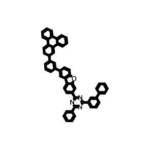 C1=c2c(c3ccccc3c3ccccc23)=CC(c2cccc(-c3ccc4oc5cc(-c6nc(-c7ccccc7)nc(-c7cccc(-c8ccccc8)c7)n6)ccc5c4c3)c2)C1